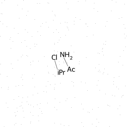 CC(C)Cl.CC(N)=O